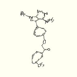 CC(C)n1cc(-c2ccc(OCC(=O)c3cccc(C(F)(F)F)c3)cc2)c2c(N)ncnc21